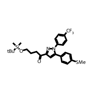 CSc1ccc(-c2cc(C(=O)CCCO[Si](C)(C)C(C)(C)C)nn2-c2ccc(C(F)(F)F)cc2)cc1